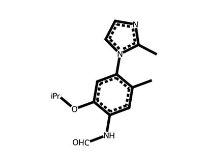 Cc1cc(NC=O)c(OC(C)C)cc1-n1ccnc1C